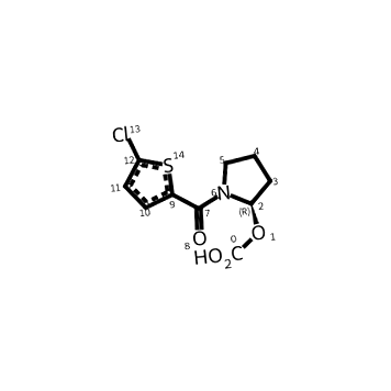 O=C(O)O[C@@H]1CCCN1C(=O)c1ccc(Cl)s1